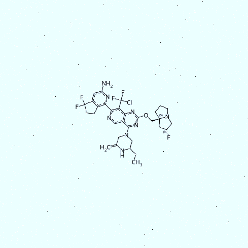 C=C1CN(c2nc(OC[C@@]34CCCN3C[C@H](F)C4)nc3c(C(F)(F)Cl)c(-c4nc(N)cc5c4CCC5(F)F)ncc23)CC(CC)N1